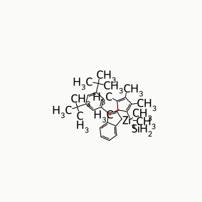 CC1=C(C)C(C)[C]([Zr]([CH3])([CH3])(=[SiH2])[CH]2C=C(c3cc(C(C)(C)C)cc(C(C)(C)C)c3)c3ccccc32)=C1C